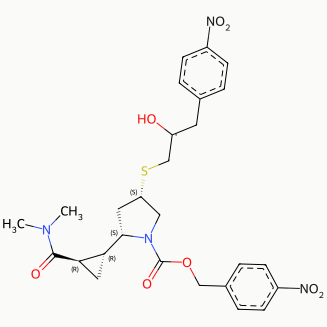 CN(C)C(=O)[C@@H]1C[C@H]1[C@@H]1C[C@H](SC[C](O)Cc2ccc([N+](=O)[O-])cc2)CN1C(=O)OCc1ccc([N+](=O)[O-])cc1